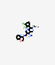 COc1ncc2c(N(C)C)c(C(=O)N[C@H]3CCOc4ccccc43)cnc2c1-c1cccc(Cl)c1Cl